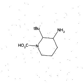 CC(C)(C)C1C(N)CCCN1C(=O)O